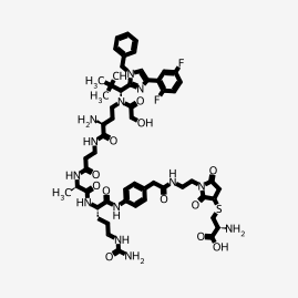 C[C@H](NC(=O)CCNC(=O)[C@@H](N)CCN(C(=O)CO)[C@@H](c1nc(-c2cc(F)ccc2F)cn1Cc1ccccc1)C(C)(C)C)C(=O)N[C@@H](CCCNC(N)=O)C(=O)Nc1ccc(CC(=O)NCCN2C(=O)CC(SC[C@H](N)C(=O)O)C2=O)cc1